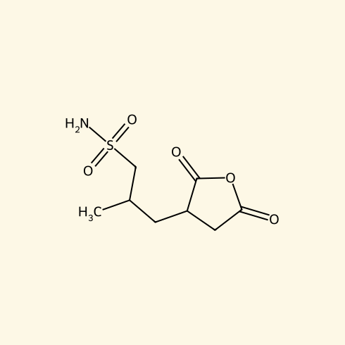 CC(CC1CC(=O)OC1=O)CS(N)(=O)=O